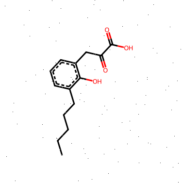 CCCCCc1cccc(CC(=O)C(=O)O)c1O